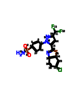 NS(=O)(=O)c1ccc(-n2nc(C(F)F)cc2-c2nc3ccc(Cl)cc3s2)cc1